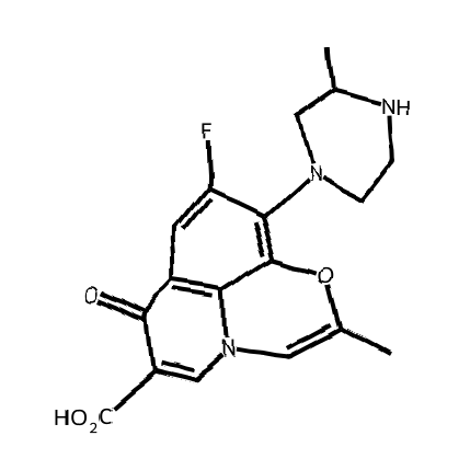 CC1=Cn2cc(C(=O)O)c(=O)c3cc(F)c(N4CCNC(C)C4)c(c32)O1